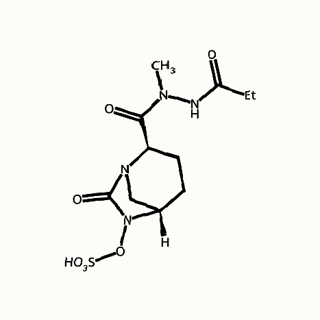 CCC(=O)NN(C)C(=O)[C@H]1CC[C@H]2CN1C(=O)N2OS(=O)(=O)O